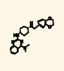 CN(C)c1nc(N[C@H]2CC[C@@H](NCc3ccc4c(c3)OCCO4)CC2)nc2ccccc12